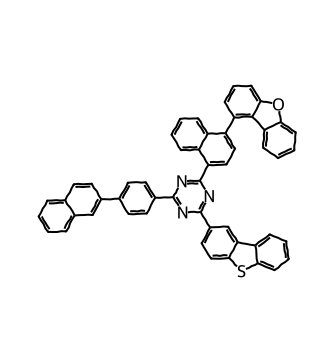 c1ccc2cc(-c3ccc(-c4nc(-c5ccc6sc7ccccc7c6c5)nc(-c5ccc(-c6cccc7oc8ccccc8c67)c6ccccc56)n4)cc3)ccc2c1